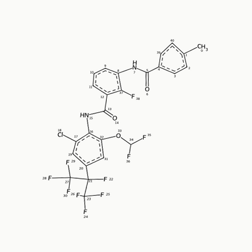 Cc1ccc(C(=O)Nc2cccc(C(=O)Nc3c(Cl)cc(C(F)(C(F)(F)F)C(F)(F)F)cc3OC(F)F)c2F)cc1